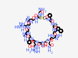 CCC1NC(=O)C(Cc2ccccc2)NC(=O)CSCC(C(=O)NCC(N)=O)NC(=O)C(Cc2cncn2C)NC(=O)C(CCCNC(=N)N)NC(=O)C(Cc2c[nH]cn2)NC(=O)C(Cc2ccc(O)cc2)N(C)C(=O)C(CCCNC(=N)N)NC(=O)C(CO)NC(=O)CN(CCC(N)=O)C(=O)C(Cc2c[nH]cn2)NC(=O)C(Cc2cccc3ccccc23)NC1=O